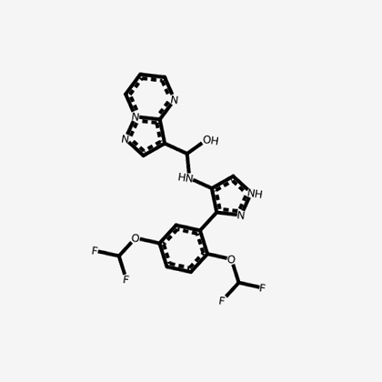 OC(Nc1c[nH]nc1-c1cc(OC(F)F)ccc1OC(F)F)c1cnn2cccnc12